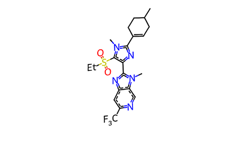 CCS(=O)(=O)c1c(-c2nc3cc(C(F)(F)F)ncc3n2C)nc(C2=CCC(C)CC2)n1C